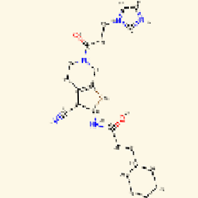 N#CC1C2=C(CN(C(=O)CCn3ccnc3)CC2)SC1NC(=O)CCC1CCCCC1